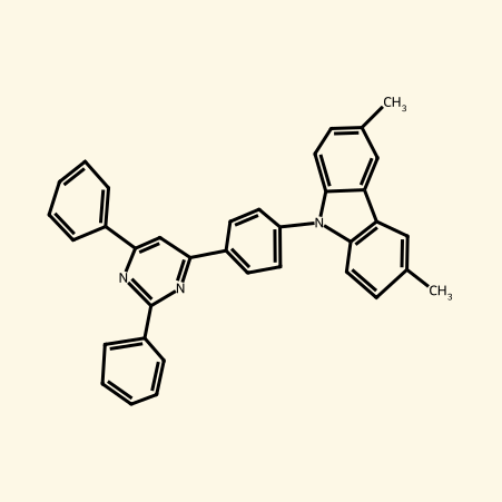 Cc1ccc2c(c1)c1cc(C)ccc1n2-c1ccc(-c2cc(-c3ccccc3)nc(-c3ccccc3)n2)cc1